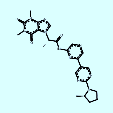 C[C@@H]1CCCN1c1ncc(-c2cncc(NC(=O)[C@H](C)n3cnc4c3c(=O)n(C)c(=O)n4C)n2)cn1